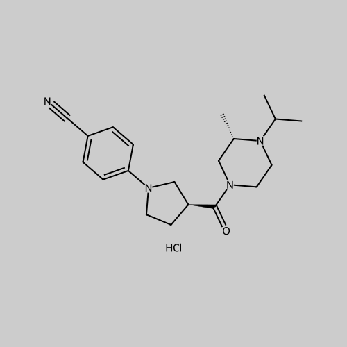 CC(C)N1CCN(C(=O)[C@H]2CCN(c3ccc(C#N)cc3)C2)C[C@@H]1C.Cl